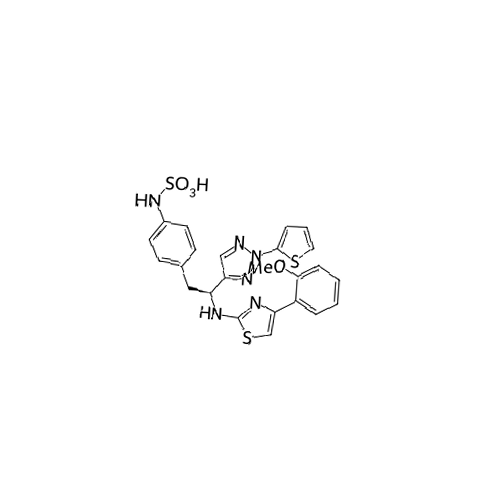 COc1ccccc1-c1csc(N[C@@H](Cc2ccc(NS(=O)(=O)O)cc2)c2cnn(-c3cccs3)n2)n1